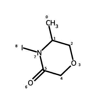 CC1COCC(=O)N1I